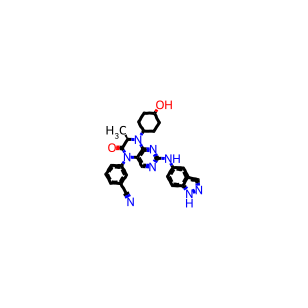 C[C@@H]1C(=O)N(c2cccc(C#N)c2)c2cnc(Nc3ccc4[nH]ncc4c3)nc2N1C1CCC(O)CC1